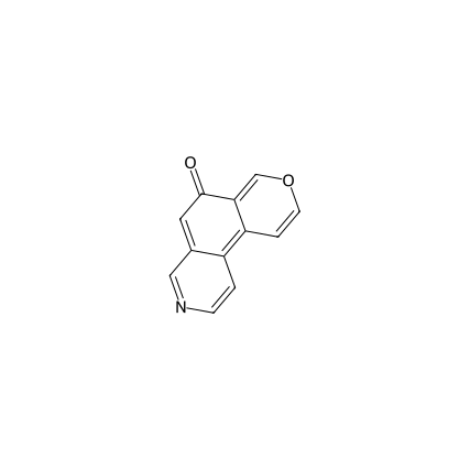 O=c1cc2cnccc2c2ccocc1-2